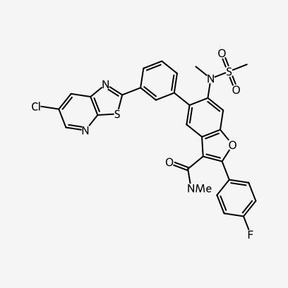 CNC(=O)c1c(-c2ccc(F)cc2)oc2cc(N(C)S(C)(=O)=O)c(-c3cccc(-c4nc5cc(Cl)cnc5s4)c3)cc12